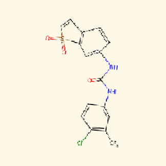 O=C(Nc1ccc(Cl)c(C(F)(F)F)c1)Nc1ccc2c(c1)S(=O)(=O)C=C2